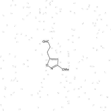 COc1cc(CC[C]=O)on1